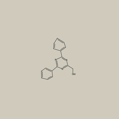 OCc1nc(-c2ccccc2)nc(-c2ccccc2)n1